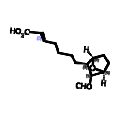 O=C[C@H]1[C@@H](CCCC/C=C/C(=O)O)[C@H]2CC[C@@H]1O2